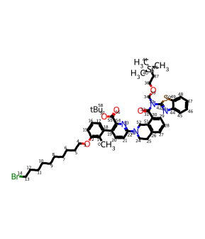 Cc1c(OCCCCCCCCCCBr)cccc1-c1ccc(N2CCc3cccc(C(=O)N(COCC[Si](C)(C)C)c4nc5ccccc5s4)c3C2)nc1C(=O)OC(C)(C)C